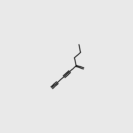 C#CC#CC(=C)CCC